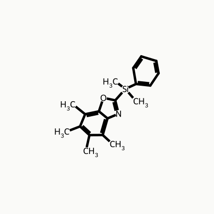 Cc1c(C)c(C)c2oc([Si](C)(C)c3ccccc3)nc2c1C